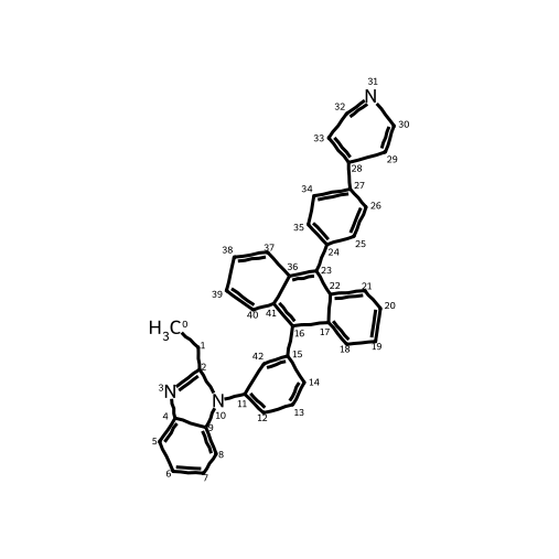 CCc1nc2ccccc2n1-c1cccc(-c2c3ccccc3c(-c3ccc(-c4ccncc4)cc3)c3ccccc23)c1